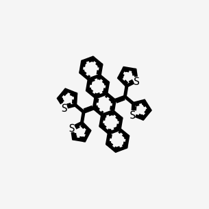 c1csc(C(c2cccs2)=c2c3cc4ccccc4cc3c(=C(c3cccs3)c3cccs3)c3cc4ccccc4cc23)c1